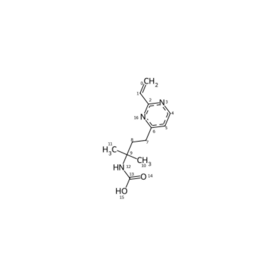 C=Cc1nccc(CCC(C)(C)NC(=O)O)n1